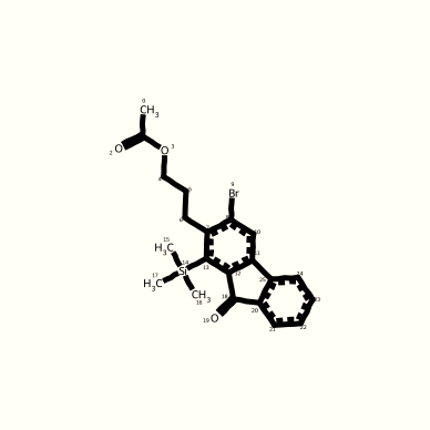 CC(=O)OCCCc1c(Br)cc2c(c1[Si](C)(C)C)C(=O)c1ccccc1-2